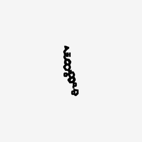 O=C1c2ccc(OC[C@@H]3CCCO3)cc2CCN1[C@H]1CCc2cc(CNCC3CC3)ccc2C1